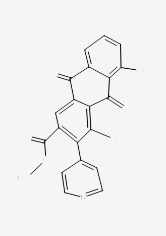 CCCOC(=O)c1cc2c(c(O)c1-c1ccncc1)C(=O)c1c(O)cccc1C2=O